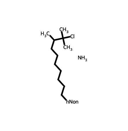 CCCCCCCCCCCCCCCCC(C)C(C)(C)Cl.N